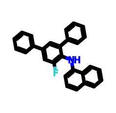 Fc1cc(-c2ccccc2)cc(-c2ccccc2)c1Nc1cccc2ccccc12